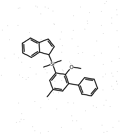 COc1c(-c2ccccc2)cc(C)cc1[Si](C)(C)C1C=Cc2ccccc21